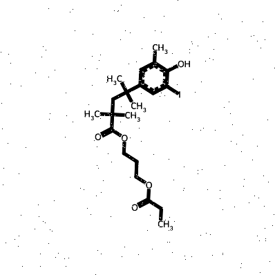 CCC(=O)OCCCOC(=O)C(C)(C)CC(C)(C)c1cc(C)c(O)c(I)c1